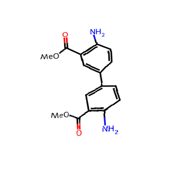 COC(=O)c1cc(-c2ccc(N)c(C(=O)OC)c2)ccc1N